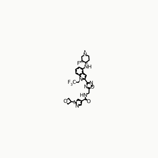 CN1CC[C@@H](Nc2cccc3c2cc(-c2noc(CNC(=O)c4cnn(C5COC5)c4)n2)n3CC(F)(F)F)[C@@H](F)C1